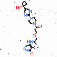 CC(COCCC(=O)N1CCN(c2ncc(C3(O)CCC3)cn2)CC1)Nc1cn[nH]c(=O)c1C(F)(F)F